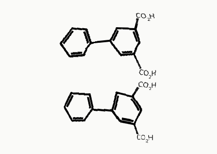 O=C(O)c1cc(C(=O)O)cc(-c2ccccc2)c1.O=C(O)c1cc(C(=O)O)cc(-c2ccccc2)c1